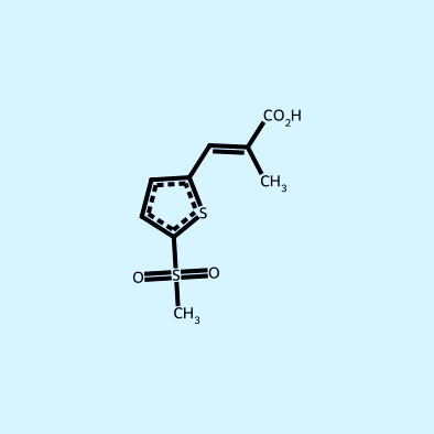 CC(=Cc1ccc(S(C)(=O)=O)s1)C(=O)O